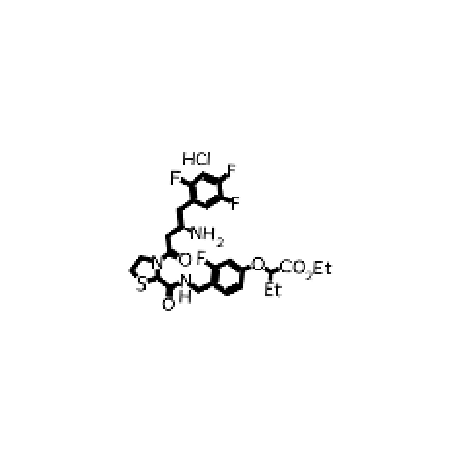 CCOC(=O)C(CC)Oc1ccc(CNC(=O)C2SCCN2C(=O)C[C@H](N)Cc2cc(F)c(F)cc2F)c(F)c1.Cl